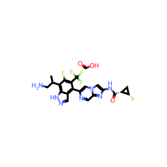 CC(CN)c1c(F)c(C(F)(F)F)c(-c2cn3cc(NC(=O)[C@@H]4C[C@@H]4F)nc3cn2)c2cn[nH]c12.O=CO